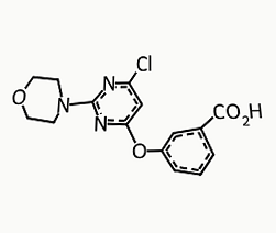 O=C(O)c1cccc(Oc2cc(Cl)nc(N3CCOCC3)n2)c1